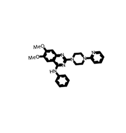 COc1cc2nc(N3CCN(c4ccccn4)CC3)nc(Nc3ccccc3)c2cc1OC